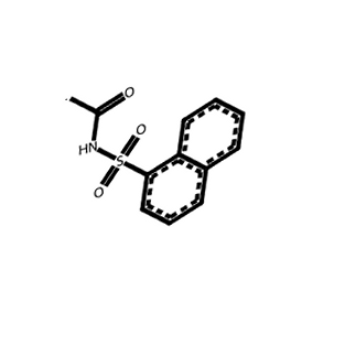 [CH2]C(=O)NS(=O)(=O)c1cccc2ccccc12